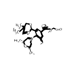 C[C@@H]1CN(c2c(F)cc(C(=O)NCC=O)cc2C2OCC(C)(C)CO2)C[C@@H](C)O1